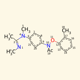 CN=C(C)N(C)c1ccc(N(Oc2ccccc2C)C(C)=O)cc1